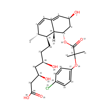 C[C@@H]1C=CC2=C[C@@H](O)C[C@H](OC(=O)C(C)(C)Oc3ccc(Cl)cc3)[C@@H]2[C@H]1CC[C@@H](O)C[C@@H](O)CC(=O)O